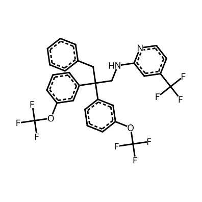 FC(F)(F)Oc1cccc(C(CNc2cc(C(F)(F)F)ccn2)(Cc2ccccc2)c2cccc(OC(F)(F)F)c2)c1